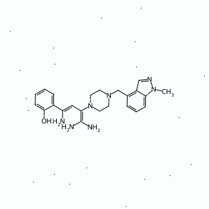 Cn1ncc2c(CN3CCN(C(/C=C(\N)c4ccccc4O)=C(N)N)CC3)cccc21